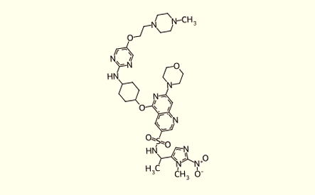 CC(NS(=O)(=O)c1cnc2cc(N3CCOCC3)nc(OC3CCC(Nc4ncc(OCCN5CCN(C)CC5)cn4)CC3)c2c1)c1cnc([N+](=O)[O-])n1C